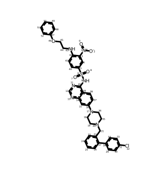 O=[N+]([O-])c1cc(S(=O)(=O)Nc2ncnc3cc(N4CCN(Cc5ccccc5-c5ccc(Cl)cc5)CC4)ccc23)ccc1NCCOc1ccccc1